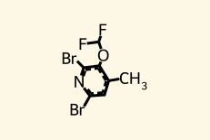 Cc1cc(Br)nc(Br)c1OC(F)F